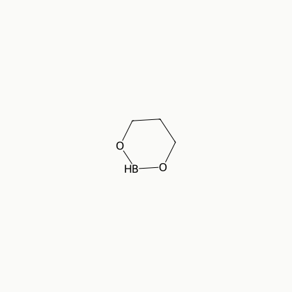 B1OCCCO1